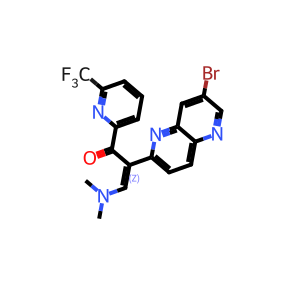 CN(C)/C=C(\C(=O)c1cccc(C(F)(F)F)n1)c1ccc2ncc(Br)cc2n1